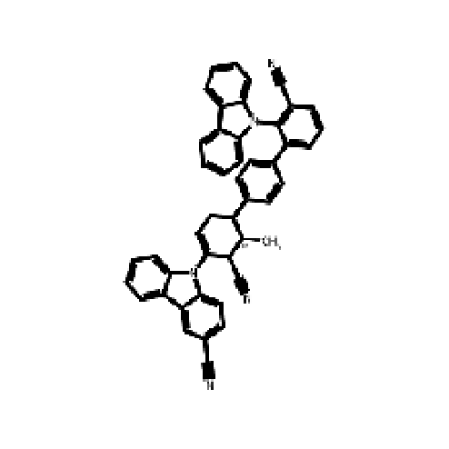 C[C@H]1C(C#N)C(n2c3ccccc3c3cc(C#N)ccc32)=CCC1c1ccc(-c2cccc(C#N)c2-n2c3ccccc3c3ccccc32)cc1